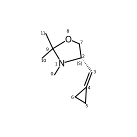 CN1[C@@H](C=C2CC2)COC1(C)C